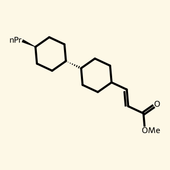 CCC[C@H]1CC[C@H](C2CCC(/C=C/C(=O)OC)CC2)CC1